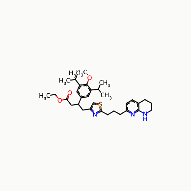 CCOC(=O)CC(Cc1csc(CCCc2ccc3c(n2)NCCC3)n1)c1cc(C(C)C)c(OC)c(C(C)C)c1